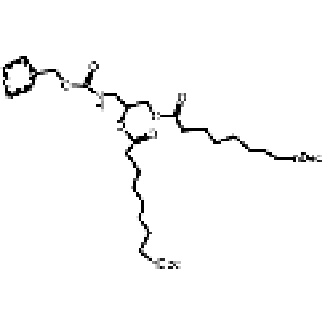 CCCCCCCCCCCCCCCCCC(=O)OCC(CNC(=O)OCc1ccccc1)OC(=O)CCCCCCCCCCCCCCCCC